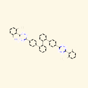 C=C(/N=N\C(=N/N)c1ccc(-c2ccccc2-c2ccccc2-c2ccc(-c3nnc(-c4c(C)cccc4C)nn3)cc2)cc1)c1c(C)cccc1C